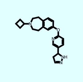 C1=NNC(c2ccc(Oc3ccc4c(c3)CCN(C3CCC3)CC4)nc2)C1